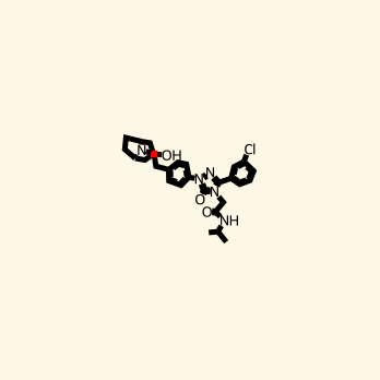 CC(C)NC(=O)Cn1c(-c2cccc(Cl)c2)nn(-c2ccc(CCN3C4CCC3CC(O)C4)cc2)c1=O